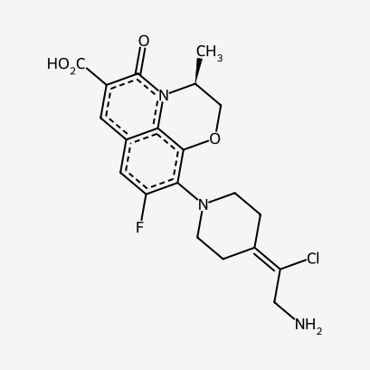 C[C@H]1COc2c(N3CCC(=C(Cl)CN)CC3)c(F)cc3cc(C(=O)O)c(=O)n1c23